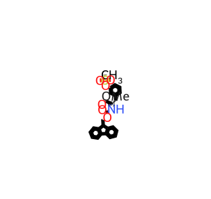 COC(=O)[C@H](Cc1cccc(OS(C)(=O)=O)c1)NC(=O)OCC1c2ccccc2-c2ccccc21